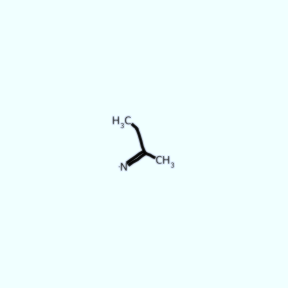 CCC(C)=[N]